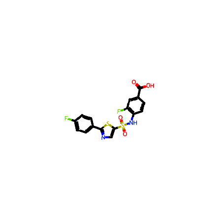 O=C(O)c1ccc(NS(=O)(=O)c2cnc(-c3ccc(F)cc3)s2)c(F)c1